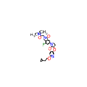 CN(C)C(=O)CN1Cc2c(F)cc(N3CC[C@@H](Oc4ccc(OCCC5CC5)nc4)C3=O)cc2C1=O